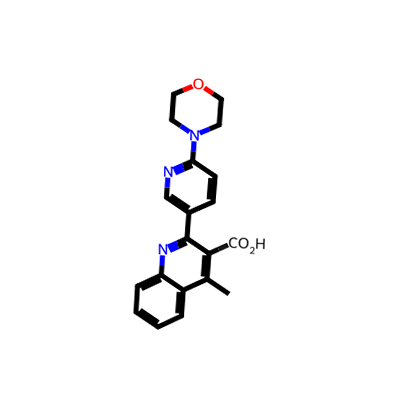 Cc1c(C(=O)O)c(-c2ccc(N3CCOCC3)nc2)nc2ccccc12